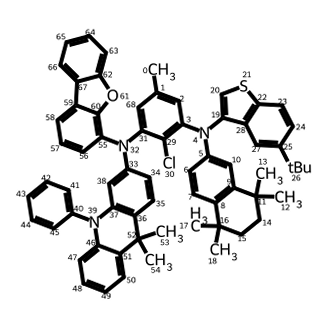 Cc1cc(N(c2ccc3c(c2)C(C)(C)CCC3(C)C)c2csc3ccc(C(C)(C)C)cc23)c(Cl)c(N(c2ccc3c(c2)N(c2ccccc2)c2ccccc2C3(C)C)c2cccc3c2oc2ccccc23)c1